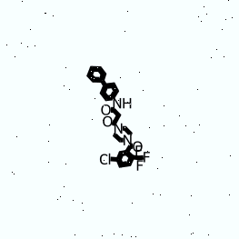 O=C(CC(=O)N1CCN(C(=O)c2cc(Cl)ccc2C(F)(F)F)CC1)Nc1ccc(-c2ccccc2)cc1